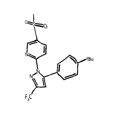 CC(C)(C)c1ccc(-c2cc(C(F)(F)F)nn2-c2ccc(S(C)(=O)=O)cn2)cc1